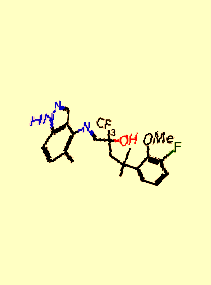 COc1c(F)cccc1C(C)(C)CC(O)(C=Nc1c(C)ccc2[nH]ncc12)C(F)(F)F